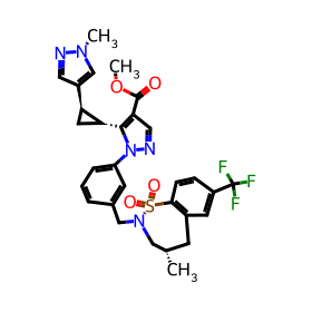 COC(=O)c1cnn(-c2cccc(CN3C[C@@H](C)Cc4cc(C(F)(F)F)ccc4S3(=O)=O)c2)c1[C@@H]1C[C@H]1c1cnn(C)c1